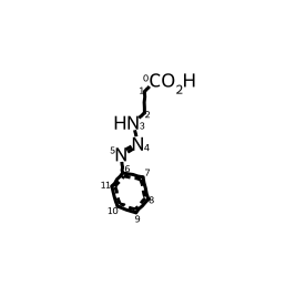 O=C(O)CCNN=Nc1ccccc1